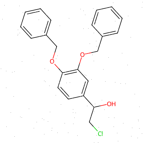 OC(CCl)c1ccc(OCc2ccccc2)c(OCc2ccccc2)c1